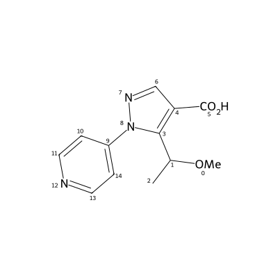 COC(C)c1c(C(=O)O)cnn1-c1ccncc1